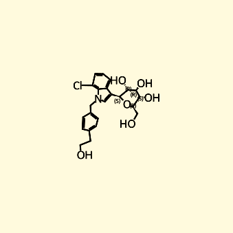 OCCc1ccc(Cn2cc([C@@H]3O[C@H](CO)[C@@H](O)[C@H](O)[C@H]3O)c3cccc(Cl)c32)cc1